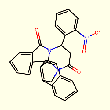 O=C1CC(c2ccccc2[N+](=O)[O-])N2C(=O)c3ccccc3C23c2ccc4ccccc4c2CN13